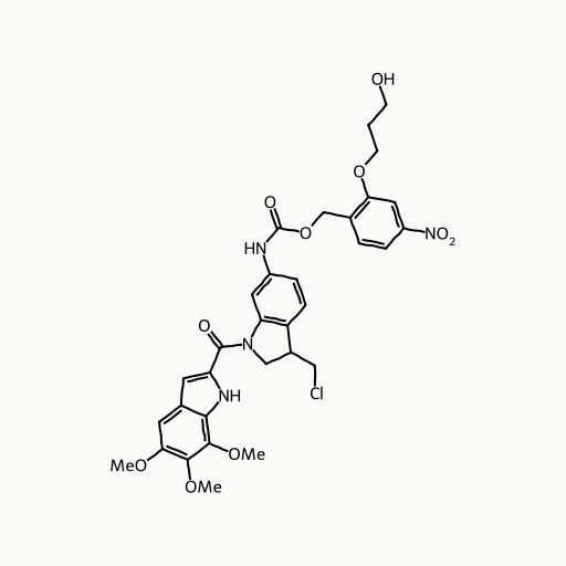 COc1cc2cc(C(=O)N3CC(CCl)c4ccc(NC(=O)OCc5ccc([N+](=O)[O-])cc5OCCCO)cc43)[nH]c2c(OC)c1OC